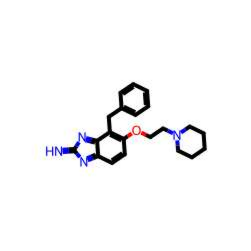 N=C1N=c2ccc(OCCN3CCCCC3)c(Cc3ccccc3)c2=N1